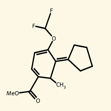 COC(=O)C1=CC=C(OC(F)F)C(=C2CCCC2)C1C